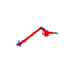 COCCCCCCO[C@H]1C[C@H](O)[C@@H](NC(=O)CO)[C@H]([C@H](O)[C@H](O)CNC(=O)Cc2ccc(-c3cn(CCOCCOCCOCCOCCOCCOCCOCCOCCOCCOCCOCCNC(=O)CCCC[C@@H]4SC[C@@H]5NC(=O)N[C@@H]54)nn3)cc2)O1